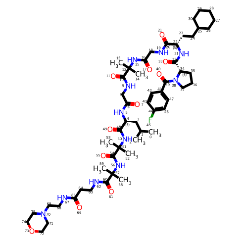 CC(C)C[C@H](NC(=O)CNC(=O)C(C)(C)NC(=O)CNC(=O)[C@H](CCC1CCCCC1)NC(=O)[C@@H]1CCCN1C(=O)c1ccc(F)cc1)C(=O)NC(C)(C)C(=O)NC(C)(C)C(=O)NCCC(=O)NCCN1CCOCC1